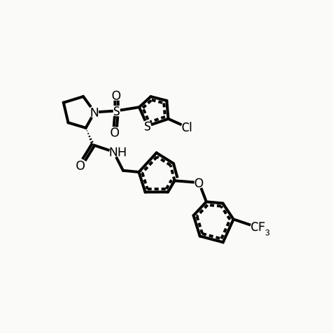 O=C(NCc1ccc(Oc2cccc(C(F)(F)F)c2)cc1)[C@@H]1CCCN1S(=O)(=O)c1ccc(Cl)s1